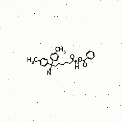 Cc1ccc(C(C#N)(CCCCCC(=O)NOC(=O)c2ccccc2)c2ccc(C)cc2)cc1